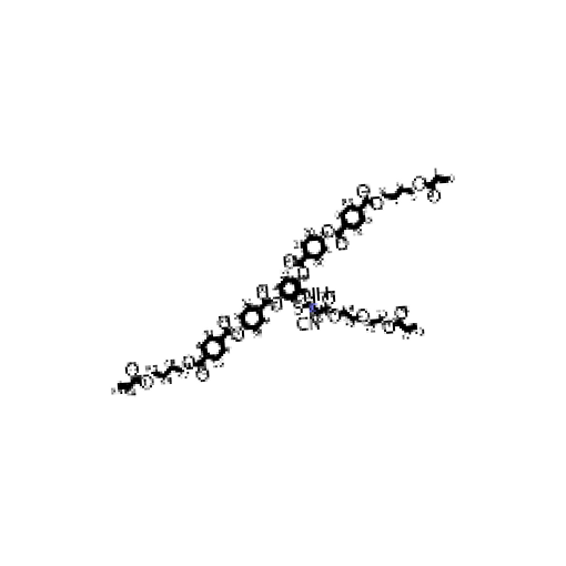 C=CC(=O)OCCCCOC(=O)C1CCC(C(=O)OC2CCC(C(=O)Oc3ccc(OC(=O)C4CCC(OC(=O)C5CCC(C(=O)OCCCCOC(=O)C=C)CC5)CC4)c4c3N/C(=C(/C#N)C(=O)OCCOCCOC(=O)C=C)S4)CC2)CC1